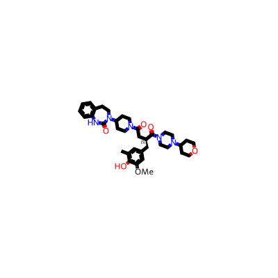 COc1cc(C[C@@H](CC(=O)N2CCC(N3CCc4ccccc4NC3=O)CC2)C(=O)N2CCN(C3CCOCC3)CC2)cc(C)c1O